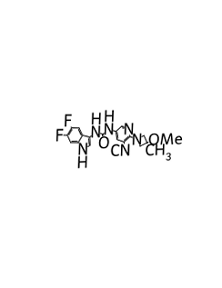 COC1(C)CN(c2ncc(NC(=O)Nc3c[nH]c4cc(F)c(F)cc34)cc2C#N)C1